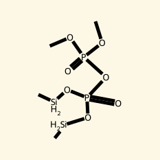 COP(=O)(OC)OP(=O)(O[SiH2]C)O[SiH2]C